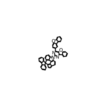 c1ccc2c(c1)-c1ccccc1C21c2cccc3ccc4c(c23)c2c1cccc2n4-c1nc(-c2ccc3oc4ccccc4c3c2)c2oc3ccccc3c2n1